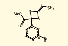 CC=C1CC(C(=O)OC)(c2cccc(Br)c2)C1